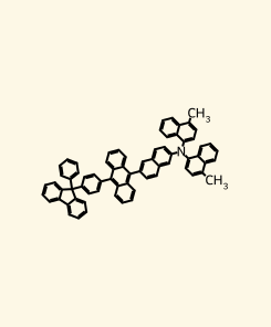 Cc1ccc(N(c2ccc3cc(-c4c5ccccc5c(-c5ccc(C6(c7ccccc7)c7ccccc7-c7ccccc76)cc5)c5ccccc45)ccc3c2)c2ccc(C)c3ccccc23)c2ccccc12